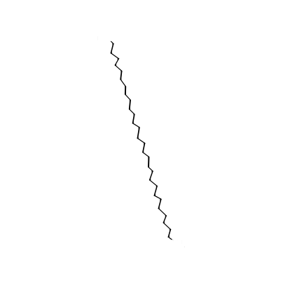 [CH2]CCCCCCCCCCCCCCCCCCCCCCCCCCCC[CH2]